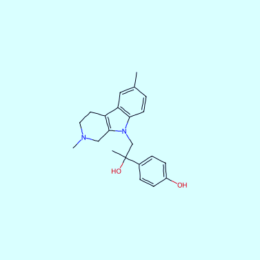 Cc1ccc2c(c1)c1c(n2CC(C)(O)c2ccc(O)cc2)CN(C)CC1